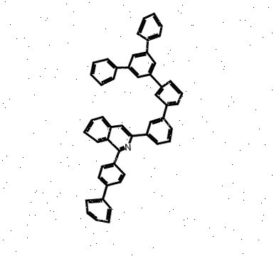 c1ccc(-c2ccc(-c3nc(-c4cccc(-c5cccc(-c6cc(-c7ccccc7)cc(-c7ccccc7)c6)c5)c4)cc4ccccc34)cc2)cc1